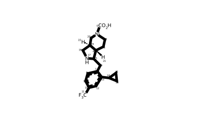 O=C(O)N1CC[C@@H]2C(Cc3ccc(C(F)(F)F)cc3C3CC3)NC[C@H]2C1